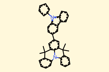 CC1(C)c2ccccc2N2c3ccccc3C(C)(C)c3cc(-c4ccc5c(c4)c4ccccc4n5-c4ccccc4)cc1c32